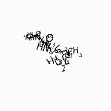 CC(C)(CCSCCNC(=O)CCNC(=O)c1ccccc1)CC(=O)O